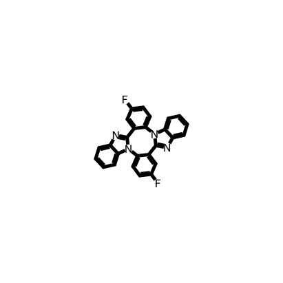 Fc1ccc2c(c1)c1nc3ccccc3n1c1ccc(F)cc1c1nc3ccccc3n21